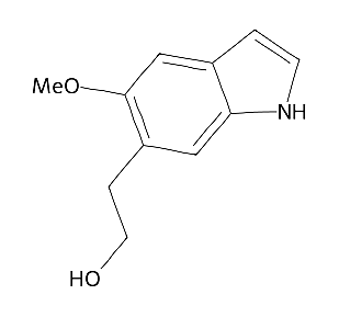 COc1cc2cc[nH]c2cc1CCO